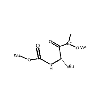 CCCC[C@H](NC(=O)OC(C)(C)C)C(=O)[N+](C)OC